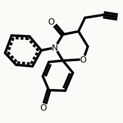 C#CCC1COC2(C=CC(=O)C=C2)N(c2ccccc2)C1=O